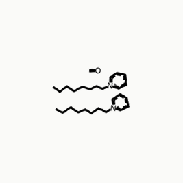 C=O.CCCCCCCC[n+]1ccccc1.CCCCCCCC[n+]1ccccc1